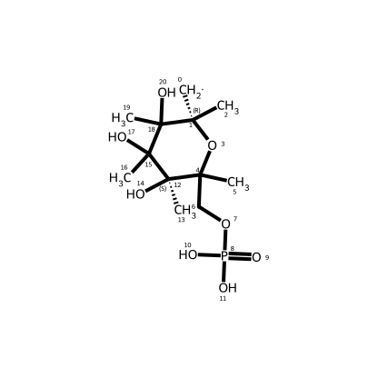 [CH2][C@]1(C)OC(C)(COP(=O)(O)O)[C@@](C)(O)C(C)(O)C1(C)O